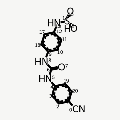 N#Cc1ccc(NC(=O)Nc2ccc(N[SH](=O)=O)cc2)cc1